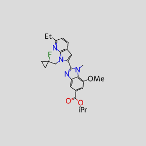 CCc1ccc2cc(-c3nc4cc(C(=O)OC(C)C)cc(OC)c4n3C)n(CC3(F)CC3)c2n1